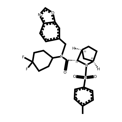 Cc1ccc(S(=O)(=O)N2[C@@H]3CC[C@@H](C3)[C@H]2C(=O)N(Cc2ccc3ncoc3c2)C2CCC(F)(F)CC2)cc1